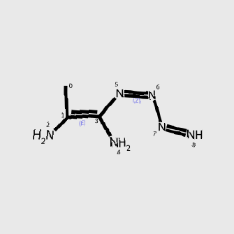 C/C(N)=C(N)\N=N/N=N